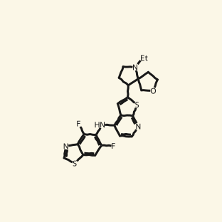 CCN1CCC(c2cc3c(Nc4c(F)cc5scnc5c4F)ccnc3s2)C12CCOC2